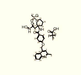 Cc1cc(COc2ccc(C(=O)NC3(CC(=O)NO)CCCN(S(C)(=O)=O)C3)cc2)c2ccccc2n1.O=C(O)C(F)(F)F